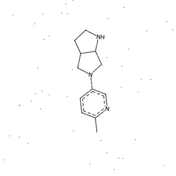 Cc1ccc(N2CC3CCNC3C2)cn1